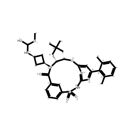 COC(O)N[C@H]1C[C@@H](N2C(=O)c3cccc(c3)S(=O)(=O)Nc3nc(cc(-c4c(C)cccc4C)n3)OC[C@H]2CC(C)(C)C)C1